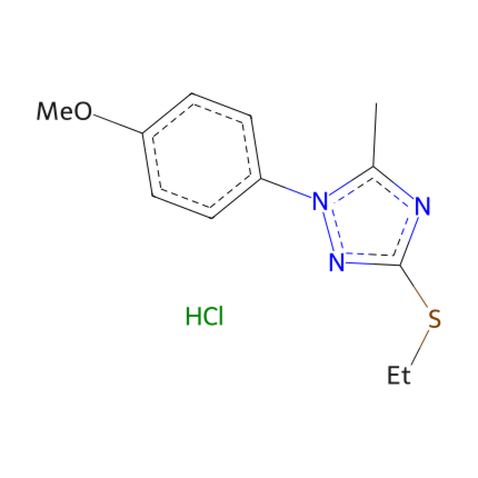 CCSc1nc(C)n(-c2ccc(OC)cc2)n1.Cl